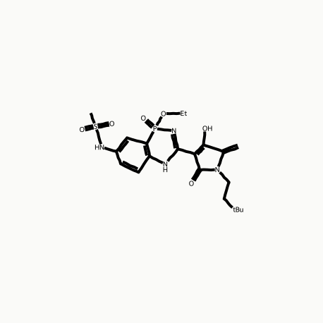 C=C1C(O)=C(C2=NP(=O)(OCC)c3cc(NS(C)(=O)=O)ccc3N2)C(=O)N1CCC(C)(C)C